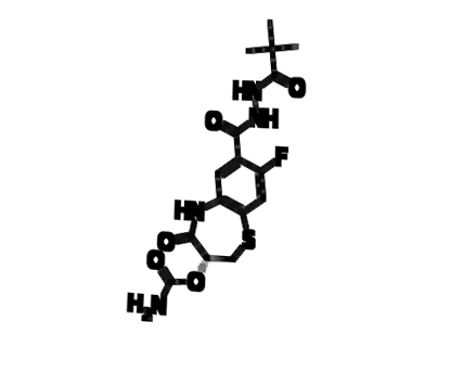 CC(C)(C)C(=O)NNC(=O)c1cc2c(cc1F)SC[C@H](OC(N)=O)C(=O)N2